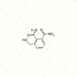 NC(=O)c1cccc(CO)c1C(N)=O